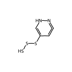 SSSC1=CNN=C=C1